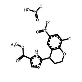 COC(=O)c1cnc(C2CCOc3c(Cl)cc([N+](=O)[O-])cc32)[nH]1.O=[N+]([O-])O